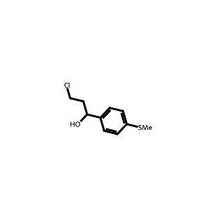 CSc1ccc(C(O)CCCl)cc1